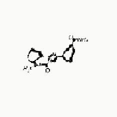 CN(C(=O)n1cnc(-c2cccc(C(N)=O)c2)c1)C1CCCCC1